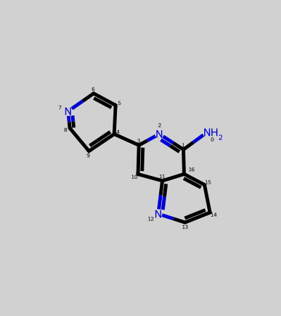 Nc1nc(-c2ccncc2)cc2ncccc12